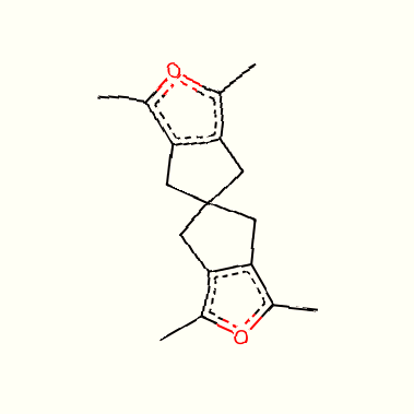 Cc1oc(C)c2c1CC1(C2)Cc2c(C)oc(C)c2C1